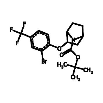 CC(C)(C)OC(=O)N1C2CCC1C(Oc1ccc(C(F)(F)F)cc1Br)C2